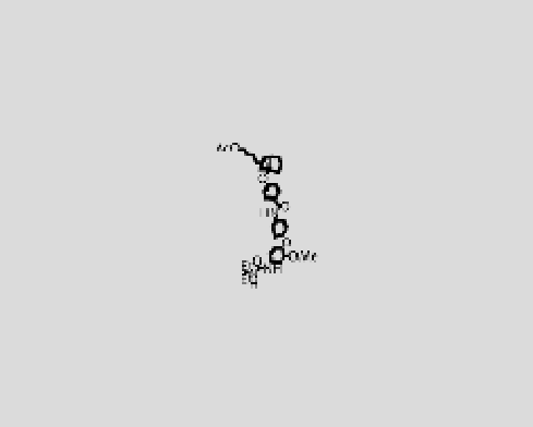 CCC(CC)NC(=O)Nc1ccc(Oc2ccc(NC(=O)c3ccc(OC45CCCC(CC4)N5CCCCOC(C)=O)cc3)cc2)c(OC)c1